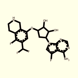 Nc1ncnc2c1c(F)cn2C1CC(Oc2cc(C(F)F)c(F)c3c2CNCC3)C(O)C1O